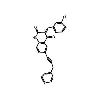 O=C1Nc2ccc(C#CCc3ccccc3)cc2C(=O)/C1=C\c1cccc(Cl)c1